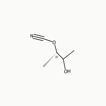 CC(O)[C@H](C)OC#N